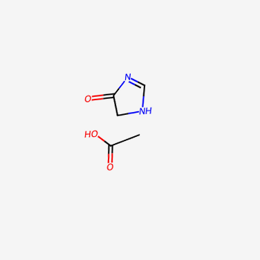 CC(=O)O.O=C1CNC=N1